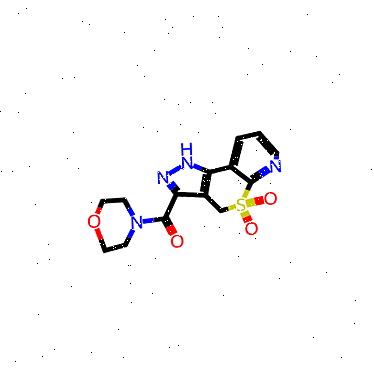 O=C(c1n[nH]c2c1CS(=O)(=O)c1ncccc1-2)N1CCOCC1